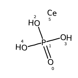 O=P(O)(O)O.[Ce]